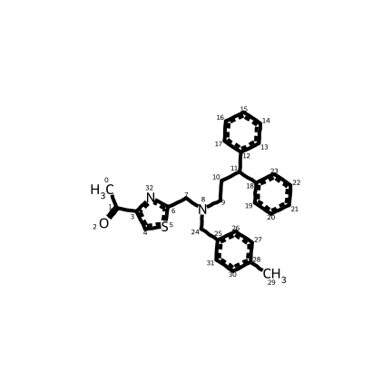 CC(=O)c1csc(CN(CCC(c2ccccc2)c2ccccc2)Cc2ccc(C)cc2)n1